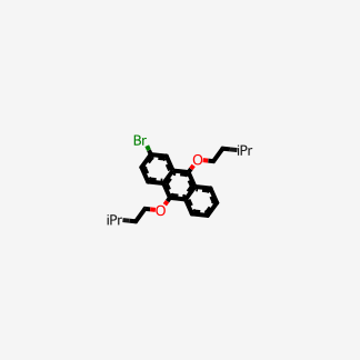 CC(C)CCOc1c2ccccc2c(OCCC(C)C)c2cc(Br)ccc12